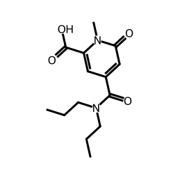 CCCN(CCC)C(=O)c1cc(C(=O)O)n(C)c(=O)c1